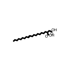 CCCCCCCCC=CCCCCCCCCC(CC(=O)O)C(=O)O